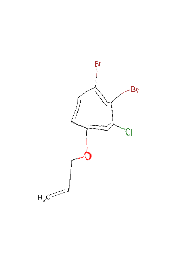 C=CCOc1ccc(Br)c(Br)c1Cl